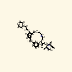 C#C/C(C)=C(OC(=O)N1C/C=C\COCc2cc(ccc2OCCN2CCOCC2)Nc2nccc1n2)\C(C)=C/C